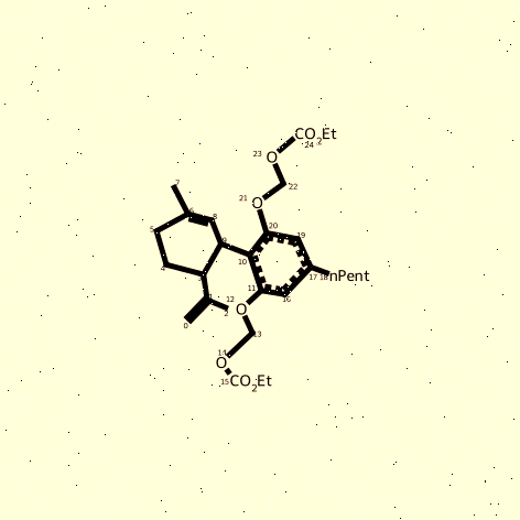 C=C(C)C1CCC(C)=CC1c1c(OCOC(=O)OCC)cc(CCCCC)cc1OCOC(=O)OCC